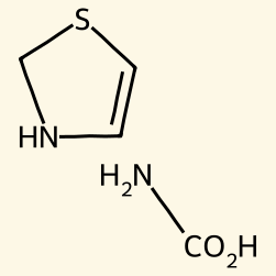 C1=CSCN1.NC(=O)O